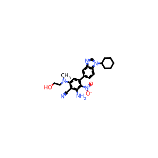 CN(CCO)c1cc(-c2ccc3c(c2)ncn3C2CCCCC2)c([N+](=O)[O-])c(N)c1C#N